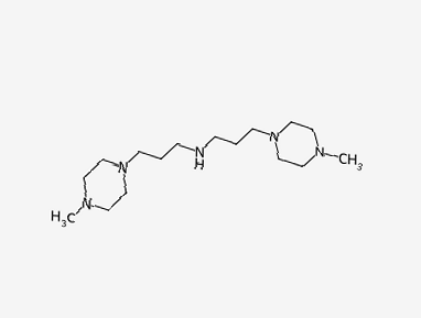 CN1CCN(CCCNCCCN2CCN(C)CC2)CC1